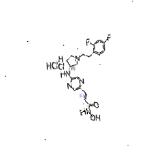 Cl.Cl.O=C(/C=C/c1cnc(N[C@@H]2CCN(CCc3ccc(F)cc3F)C2)cn1)NO